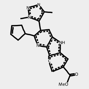 COC(=O)c1ccc2c(c1)[nH]c1cc(-c3c(C)nnn3C)c(C3CC=CC3)nc12